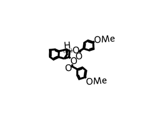 COc1ccc(C(=O)OC2C3C[C@@H](c4ccccc43)[C@@H]2OC(=O)c2ccc(OC)cc2)cc1